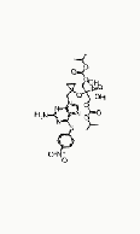 CC(C)OC(=O)OCC(COC(=O)OC(C)C)(OC1(Cn2cnc3c(Sc4ccc([N+](=O)[O-])cc4)nc(N)nc32)CC1)P(=O)(O)O